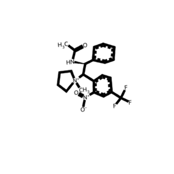 CC(=O)N[C@@H](c1ccccc1)C(c1ccc(C(F)(F)F)cc1[N+](=O)[O-])[N+]1(C)CCCC1